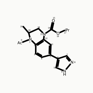 CC(=O)N1c2ccc(-c3cn[nH]c3)cc2N(C(=O)OC(C)C)CC1C